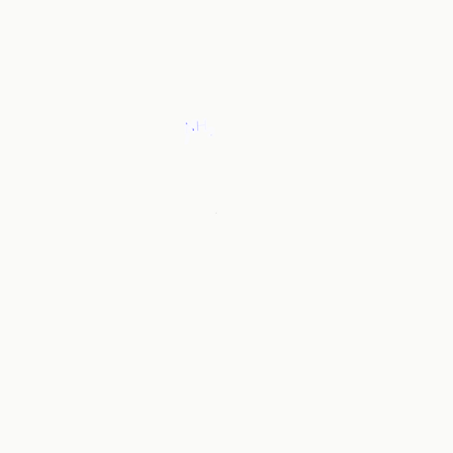 NCCCC1CCCCCCCC1